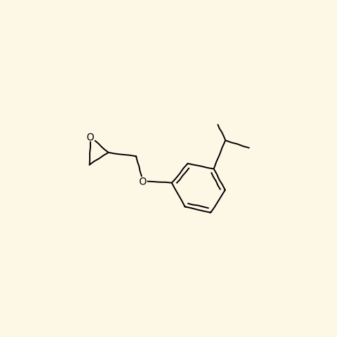 CC(C)c1cccc(OCC2CO2)c1